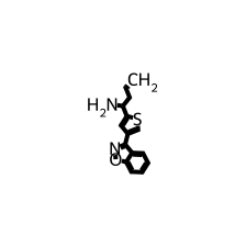 C=CCC(N)c1cc(-c2noc3ccccc23)cs1